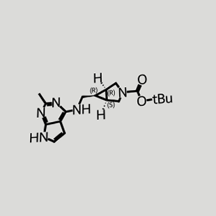 Cc1nc(NC[C@H]2[C@H]3CN(C(=O)OC(C)(C)C)C[C@@H]23)c2cc[nH]c2n1